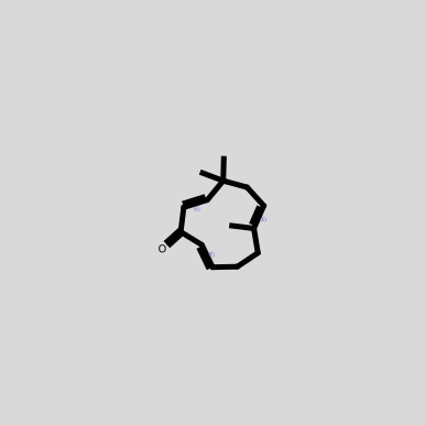 C/C1=C\CC(C)(C)/C=C/C(=O)/C=C/CC1